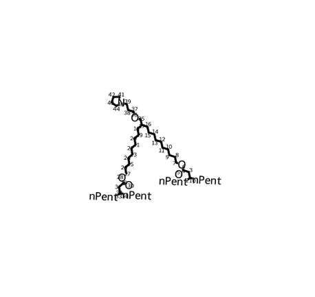 CCCCCC(CCCCC)CC(=O)OCCCCCCCCCCC(CCCCCCCCCCOC(=O)CC(CCCCC)CCCCC)COCCCN1CCCC1